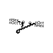 CCCCCCCCC(CCCCCC)CCC(=O)CCCCCN(CCC(=O)OCC(CCCCCC)CCCCCCCC)CCN1CCCC1